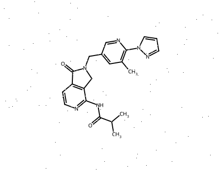 Cc1cc(CN2Cc3c(ccnc3NC(=O)C(C)C)C2=O)cnc1-n1cccn1